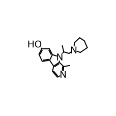 Cc1nccc2c3ccc(O)cc3n(C(C)CN3CCCCC3)c12